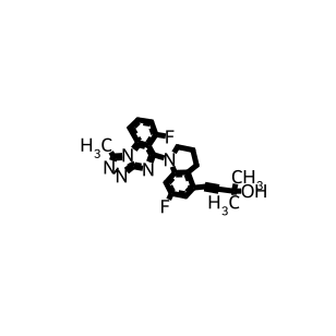 Cc1nnc2nc(N3CCCc4c(C#CC(C)(C)O)cc(F)cc43)c3c(F)cccc3n12